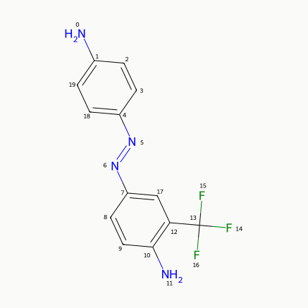 Nc1ccc(N=Nc2ccc(N)c(C(F)(F)F)c2)cc1